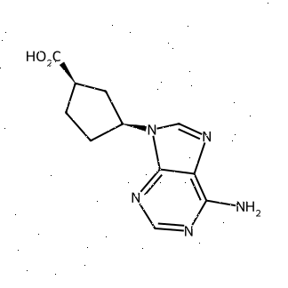 Nc1ncnc2c1ncn2[C@H]1CC[C@@H](C(=O)O)C1